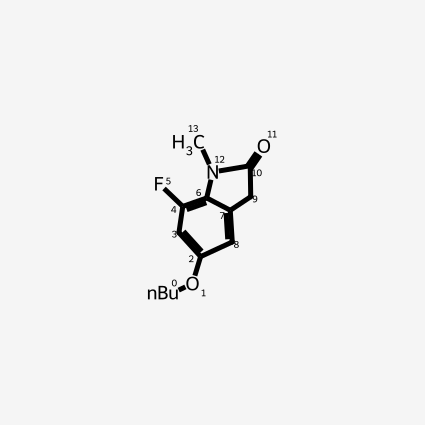 CCCCOc1cc(F)c2c(c1)CC(=O)N2C